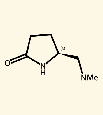 CNC[C@@H]1CCC(=O)N1